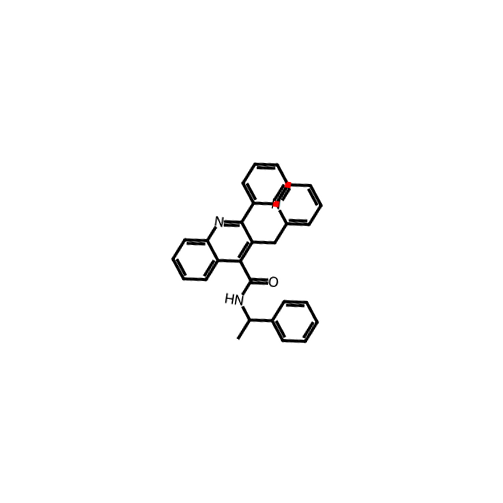 CC(NC(=O)c1c(Cc2ccccn2)c(-c2ccccc2)nc2ccccc12)c1ccccc1